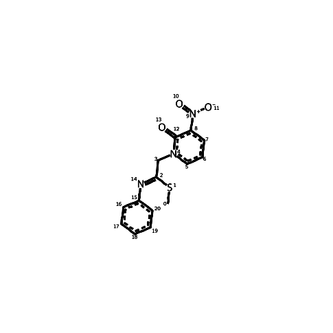 CS/C(Cn1cccc([N+](=O)[O-])c1=O)=N\c1ccccc1